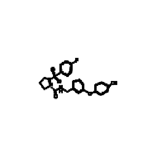 N#Cc1ccc(Oc2cccc(CNC(=O)[C@@H]3CCCN3S(=O)(=O)c3ccc(F)cc3)c2)cc1